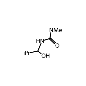 CNC(=O)NC(O)C(C)C